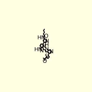 CCCCC(=O)Nc1cncc(-c2ccc3[nH]nc(-c4cc5c(-c6ccc(C(C)=O)s6)cncc5[nH]4)c3n2)c1